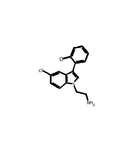 NCCn1cc(-c2ccccc2Cl)c2cc(Cl)ccc21